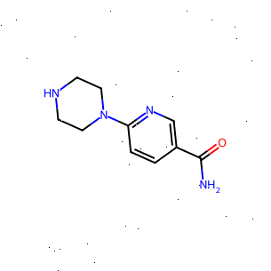 NC(=O)c1ccc(N2CCNCC2)nc1